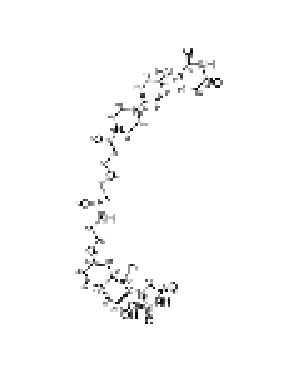 O=C(CCOCCC(=O)N1CCN(c2ccc(NC3CCC(=O)NC3=O)cc2)CC1)NCCOc1ccc2cc(O)c(N3CC(=O)NS3(=O)=O)c(F)c2c1